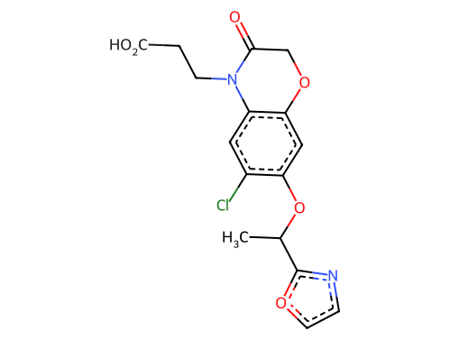 CC(Oc1cc2c(cc1Cl)N(CCC(=O)O)C(=O)CO2)c1ncco1